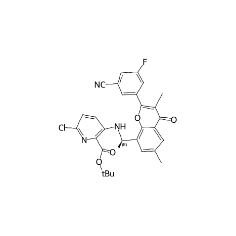 Cc1cc([C@@H](C)Nc2ccc(Cl)nc2C(=O)OC(C)(C)C)c2oc(-c3cc(F)cc(C#N)c3)c(C)c(=O)c2c1